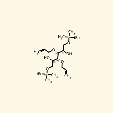 C=CCO[C@@H]([C@H](OCC=C)[C@H](O)CO[Si](C)(C)C(C)(C)C)[C@H](O)CO[Si](C)(C)C(C)(C)C